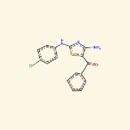 Nc1nc(Nc2ccc(Cl)cc2)sc1C(=O)c1ccccc1